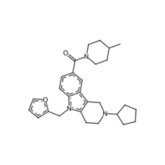 CC1CCN(C(=O)c2ccc3c(c2)c2c(n3Cc3ccco3)CCN(C3CCCC3)C2)CC1